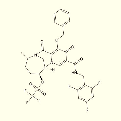 C[C@H]1CC[C@H](OS(=O)(=O)C(F)(F)F)[C@H]2CN1C(=O)c1c(OCc3ccccc3)c(=O)c(C(=O)NCc3c(F)cc(F)cc3F)cn12